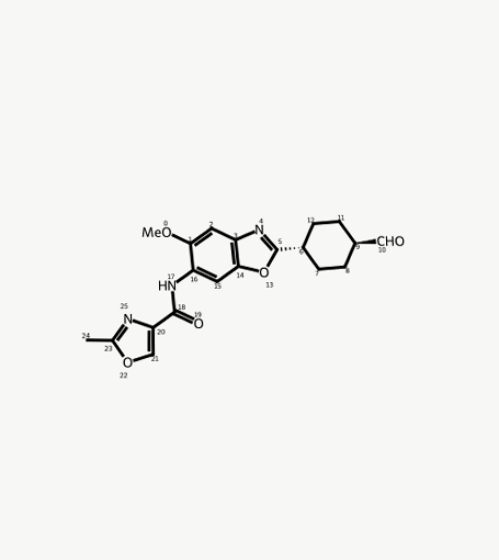 COc1cc2nc([C@H]3CC[C@H](C=O)CC3)oc2cc1NC(=O)c1coc(C)n1